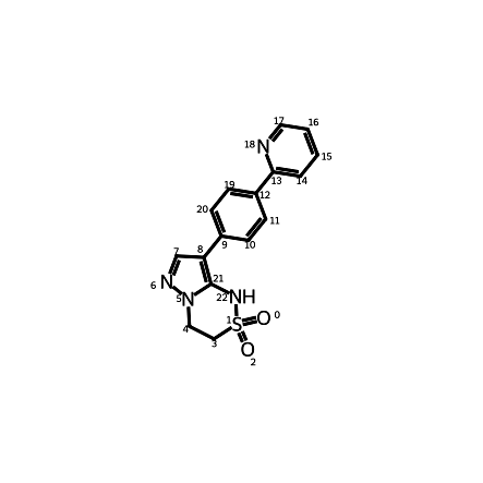 O=S1(=O)CCn2ncc(-c3ccc(-c4ccccn4)cc3)c2N1